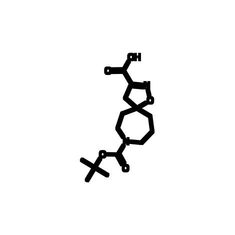 CC(C)(C)OC(=O)N1CCCC2(CC1)CC(C(=O)O)=NO2